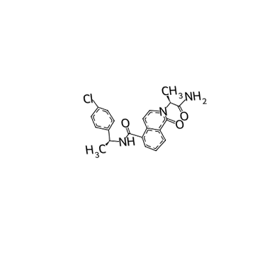 C[C@H](NC(=O)c1cccc2c(=O)n([C@@H](C)C(N)=O)ccc12)c1ccc(Cl)cc1